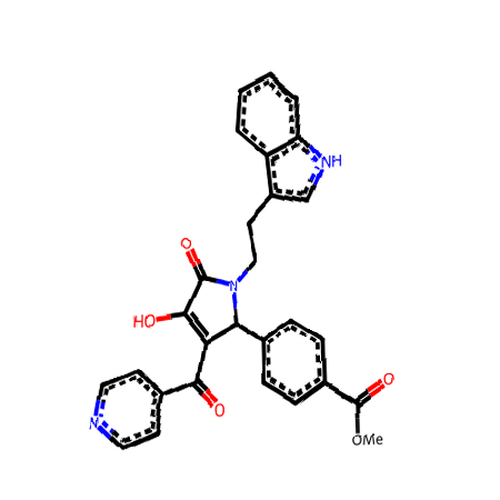 COC(=O)c1ccc(C2C(C(=O)c3ccncc3)=C(O)C(=O)N2CCc2c[nH]c3ccccc23)cc1